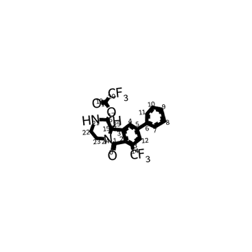 O=C1c2c(cc(-c3ccccc3)cc2C(F)(F)F)[C@@H]2C(OC(=O)C(F)(F)F)NCCN12